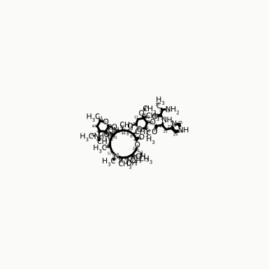 CC[C@H]1OC(=O)[C@H](C)[C@@H](O[C@H]2CC(C)(OC)[C@@H](OC(=O)C(Cc3c[nH]cn3)NC(=O)C(C)N)C(C)O2)[C@H](C)[C@@H](O[C@@H]2O[C@H](C)CC(N(C)C)C2O)[C@](C)(O)C[C@@H](C)CN(C)[C@H](C)[C@@H](O)[C@]1(C)O